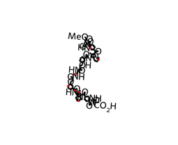 COC(=O)Cn1c(=O)[nH]c2cc(C(=O)c3c(C)c(NC(=O)c4cccc(OCC(=O)NCCNC(=O)COc5cccc(C(=O)Nc6c(C)c(C(=O)c7ccc8c(=O)n(CC(=O)O)c(=O)[nH]c8c7)n7ccccc67)c5)c4)c4ccccn34)ccc2c1=O